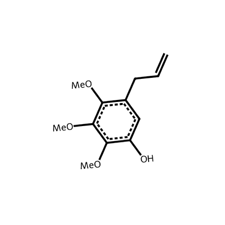 C=CCc1cc(O)c(OC)c(OC)c1OC